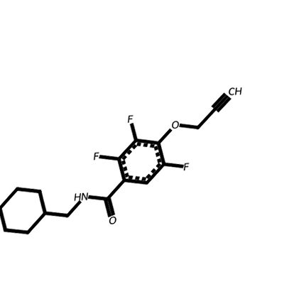 C#CCOc1c(F)cc(C(=O)NCC2CCCCC2)c(F)c1F